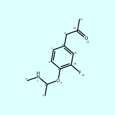 CNC(C)Oc1ccc(CC(C)=O)cc1F